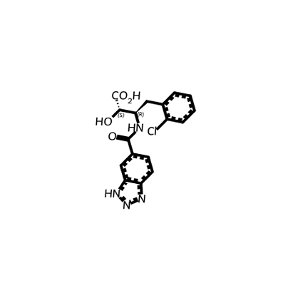 O=C(N[C@H](Cc1ccccc1Cl)[C@H](O)C(=O)O)c1ccc2nn[nH]c2c1